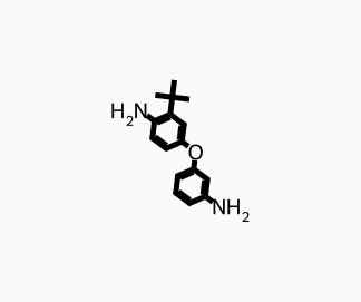 CC(C)(C)c1cc(Oc2cccc(N)c2)ccc1N